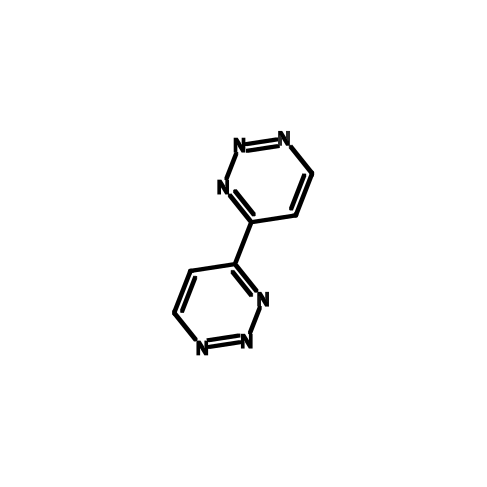 c1cc(-c2ccnnn2)nnn1